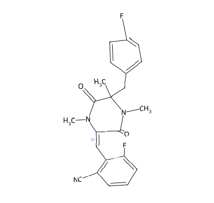 CN1C(=O)C(C)(Cc2ccc(F)cc2)N(C)C(=O)/C1=C\c1c(F)cccc1C#N